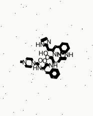 CN1CCN(C(=O)N[C@@H](Cc2ccccc2)C(=O)N[C@@H](Cc2c[nH]cn2)C(=O)NC(CC2CCCCC2)C(O)c2ncc[nH]2)CC1